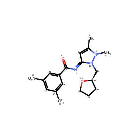 Cn1c(C(C)(C)C)cc(=NC(=O)c2cc([N+](=O)[O-])cc(C(F)(F)F)c2)n1C[C@H]1CCCO1